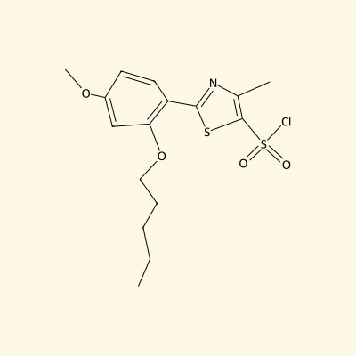 CCCCCOc1cc(OC)ccc1-c1nc(C)c(S(=O)(=O)Cl)s1